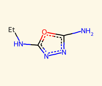 CCNc1nnc(N)o1